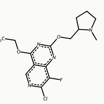 CN1CCCC1COc1nc(OCC(F)(F)F)c2cnc(Cl)c(F)c2n1